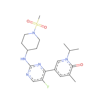 Cc1cc(-c2nc(NC3CCN(S(C)(=O)=O)CC3)ncc2F)cn(C(C)C)c1=O